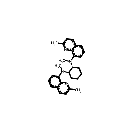 Cc1ccc2cccc(N(C)C3CCCC[C@@H]3N(C)c3cccc4ccc(C)nc34)c2n1